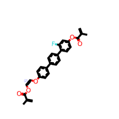 C=C(C)C(=O)O/C=C\Oc1ccc(-c2ccc(-c3ccc(OC(=O)C(=C)C)cc3F)cc2)cc1